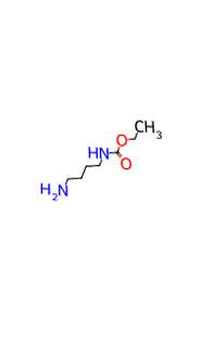 CCOC(=O)NCCCCN